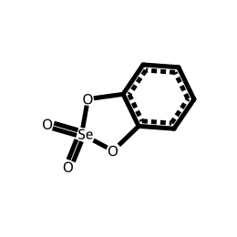 O=[Se]1(=O)Oc2ccccc2O1